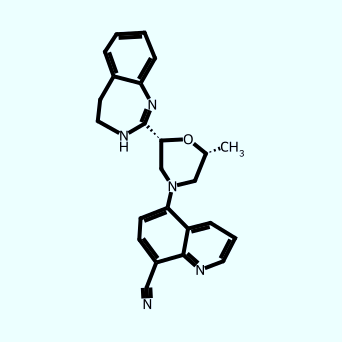 C[C@@H]1CN(c2ccc(C#N)c3ncccc23)C[C@H](C2=Nc3ccccc3CCN2)O1